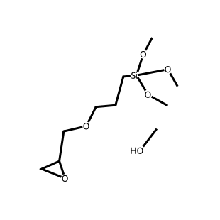 CO.CO[Si](CCCOCC1CO1)(OC)OC